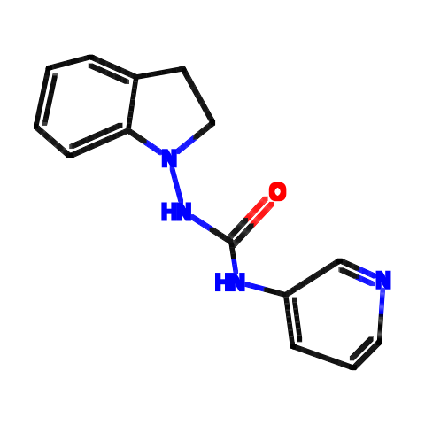 O=C(Nc1cccnc1)NN1CCc2ccccc21